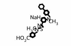 CN(Cc1ccc(C2CCCCC2)cc1)c1cccc(-c2csc(N(C)Cc3ccc(C(=O)O)cc3)n2)c1.[NaH]